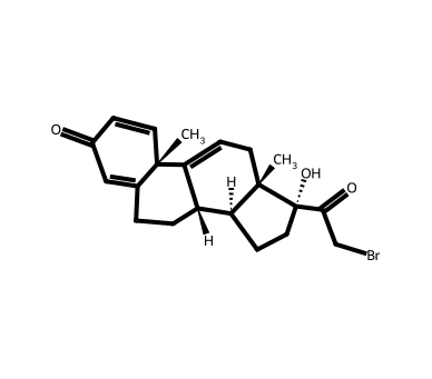 C[C@]12C=CC(=O)C=C1CC[C@@H]1C2=CC[C@@]2(C)[C@H]1CC[C@]2(O)C(=O)CBr